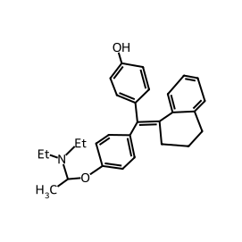 CCN(CC)C(C)Oc1ccc(C(=C2CCCc3ccccc32)c2ccc(O)cc2)cc1